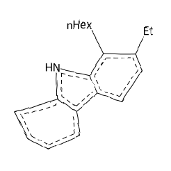 CCCCCCc1c(CC)ccc2c1[nH]c1ccccc12